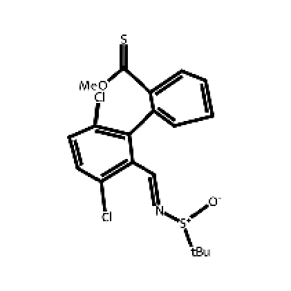 COC(=S)c1ccccc1-c1c(Cl)ccc(Cl)c1/C=N/[S+]([O-])C(C)(C)C